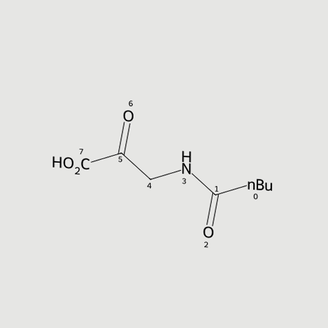 CCCCC(=O)NCC(=O)C(=O)O